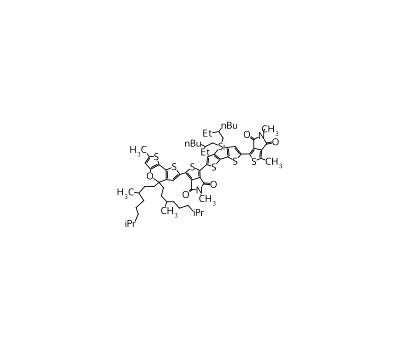 CCCCC(CC)C[Si]1(CC(CC)CCCC)c2cc(-c3sc(C)c4c3C(=O)N(C)C4=O)sc2-c2sc(-c3sc(-c4cc5c(s4)-c4sc(C)cc4OC5(CCC(C)CCCC(C)C)CCC(C)CCCC(C)C)c4c3C(=O)N(C)C4=O)cc21